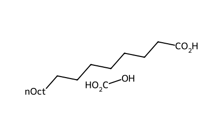 CCCCCCCCCCCCCCCC(=O)O.O=C(O)O